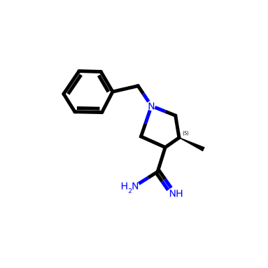 C[C@@H]1CN(Cc2ccccc2)CC1C(=N)N